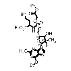 CCOC(=O)C(CCC(C)C)NP(=O)(OCC(=O)OC(C)C)OC[C@H]1O[C@@H](n2cnc3c(OCC)nc(C)nc32)[C@@](C)(F)C1O